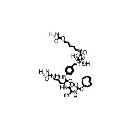 CC(C)C(NC(=O)OC1CC/C=C/CCC1)C(=O)NC(CCCNC(N)=O)C(=O)Nc1ccc(COP(=O)(O)OP(=O)(O)OCCCCCOC(N)=O)cc1